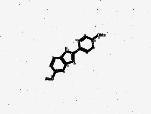 COc1ccc2[nH]c(C3=CCC(OC)C=N3)nc2c1